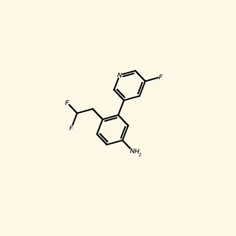 Nc1ccc(CC(F)F)c(-c2cncc(F)c2)c1